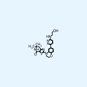 CC1(C)Cc2nc(N3CCOc4ccc(-c5ccc(NCCO)nn5)cc43)sc2C(=O)N1